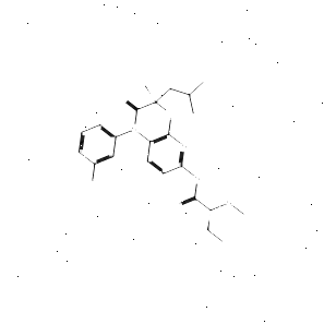 CC[C@H](NC)C(=O)Nc1ccc2c(n1)O[C@@](C)(CC(C)C)C(=O)N2c1cccc(Cl)c1